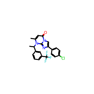 Cc1cc(=O)n2cc(-c3ccc(Cl)cc3)nc2n1C(C)c1cccc(C(F)(F)F)c1